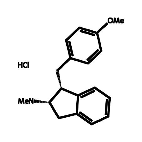 CN[C@H]1Cc2ccccc2[C@H]1Cc1ccc(OC)cc1.Cl